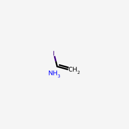 C=CI.N